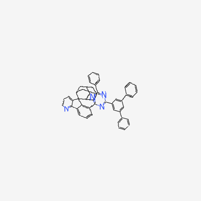 c1ccc(-c2cc(-c3ccccc3)cc(-c3nc(-c4ccccc4)nc(-c4cccc5c4C4(c6cccnc6-5)C5CC6CC(C5)CC4C6)n3)c2)cc1